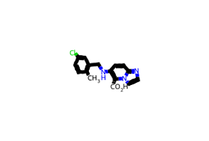 Cc1ccc(Cl)cc1CNc1ccc2nccn2c1C(=O)O